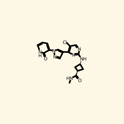 CNC(=O)[C@H]1C[C@H](Nc2ncc(Cl)c(-c3cnn(-c4ccc[nH]c4=O)c3)n2)C1